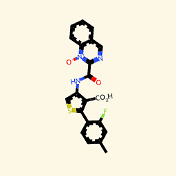 Cc1ccc(-c2scc(NC(=O)c3ncc4ccccc4[n+]3[O-])c2C(=O)O)c(F)c1